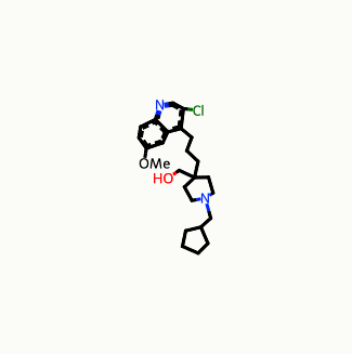 COc1ccc2ncc(Cl)c(CCCC3(CO)CCN(CC4CCCC4)CC3)c2c1